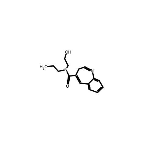 CCCN(CCO)C(=O)C1=Cc2ccccc2N=CC1